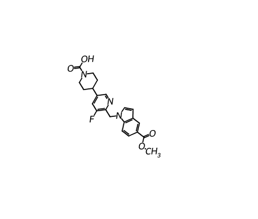 COC(=O)c1ccc2c(ccn2Cc2ncc(C3CCN(C(=O)O)CC3)cc2F)c1